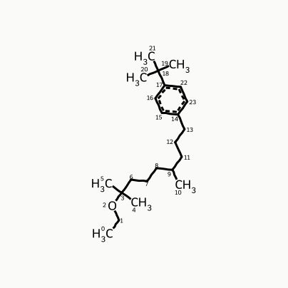 CCOC(C)(C)CCCC(C)CCCc1ccc(C(C)(C)C)cc1